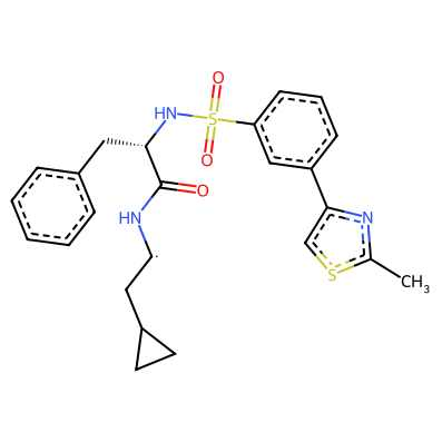 Cc1nc(-c2cccc(S(=O)(=O)N[C@@H](Cc3ccccc3)C(=O)N[CH]CC3CC3)c2)cs1